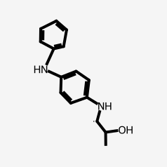 CC(O)[CH]Nc1ccc(Nc2ccccc2)cc1